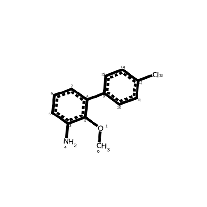 COc1c(N)cccc1-c1ccc(Cl)cc1